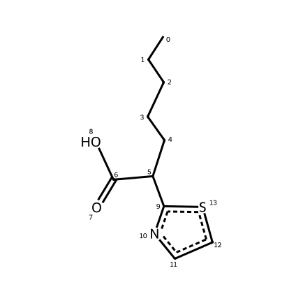 CCCCCC(C(=O)O)c1nccs1